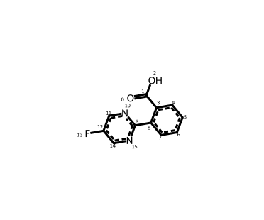 O=C(O)c1ccccc1-c1ncc(F)cn1